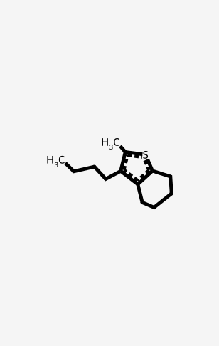 CCCCc1c(C)sc2c1CCCC2